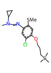 CSc1cc(OCCC[Si](C)(C)C)c(Cl)cc1N=CN(C)C1CC1